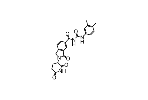 Cc1ccc(NC(=O)NC(=O)c2ccc3c(c2)C(=O)N(C2CCC(=O)NC2=O)C3)cc1C